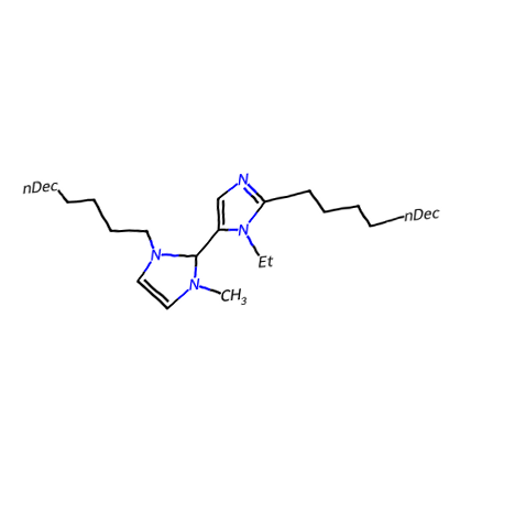 CCCCCCCCCCCCCCc1ncc(C2N(C)C=CN2CCCCCCCCCCCCCC)n1CC